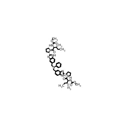 CC[C@H](C)[C@H](NC(=O)OC)C(=O)N1CCC[C@H]1c1nc2cc(CN(Cc3ccc4[nH]c([C@@H]5CCCN5C(=O)[C@@H](NC(=O)OC)[C@@H](C)CC)nc4c3)c3ccccc3)ccc2[nH]1